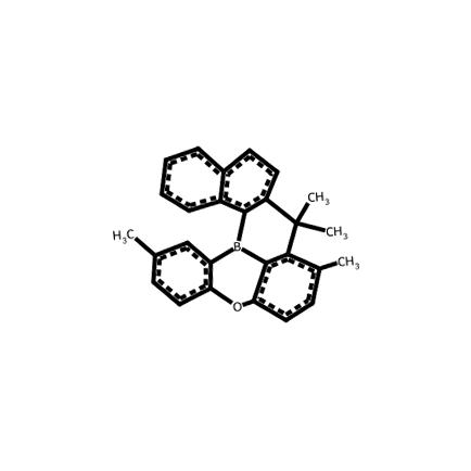 Cc1ccc2c(c1)B1c3c(ccc(C)c3C(C)(C)c3ccc4ccccc4c31)O2